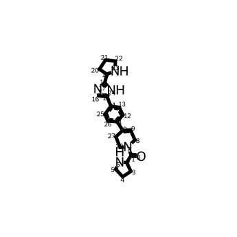 O=C(C1CCCN1)N1CC=C(c2ccc(-c3cnc(C4CCCN4)[nH]3)cc2)CC1